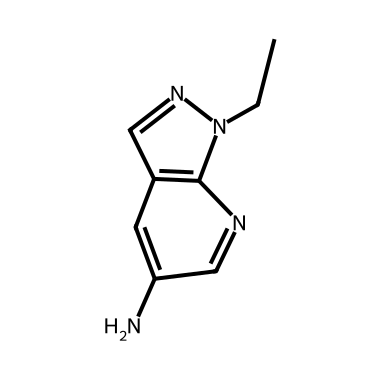 CCn1ncc2cc(N)cnc21